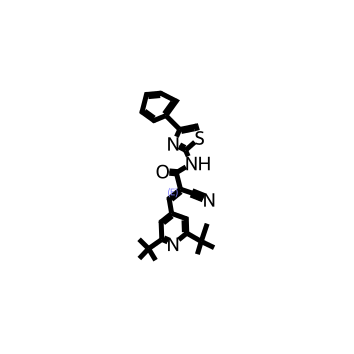 CC(C)(C)c1cc(/C=C(\C#N)C(=O)Nc2nc(-c3ccccc3)cs2)cc(C(C)(C)C)n1